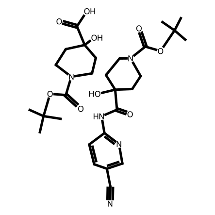 CC(C)(C)OC(=O)N1CCC(O)(C(=O)Nc2ccc(C#N)cn2)CC1.CC(C)(C)OC(=O)N1CCC(O)(C(=O)O)CC1